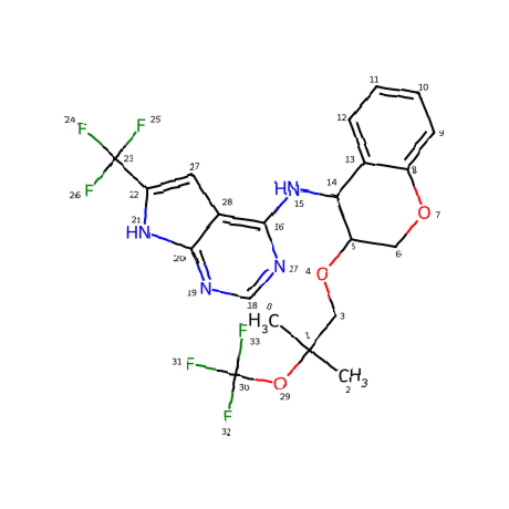 CC(C)(COC1COc2ccccc2C1Nc1ncnc2[nH]c(C(F)(F)F)cc12)OC(F)(F)F